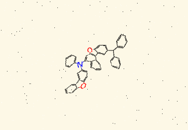 c1ccc(C(c2ccccc2)c2ccc3oc4cc(N(c5ccccc5)c5ccc6oc7ccccc7c6c5)c5ccccc5c4c3c2)cc1